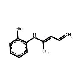 C=C/C=C(\C)Nc1ccccc1C(C)(C)C